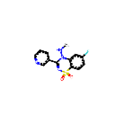 CCNN1C(c2cccnc2)=NS(=O)(=O)c2ccc(F)cc21